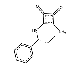 CC[C@@H](Nc1c(N)c(=O)c1=O)c1ccccc1